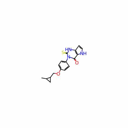 CC1CC1COc1ccc(-n2c(=S)[nH]c3cc[nH]c3c2=O)cc1